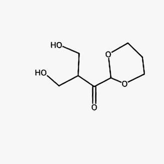 O=C(C(CO)CO)C1OCCCO1